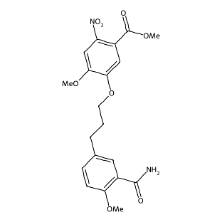 COC(=O)c1cc(OCCCc2ccc(OC)c(C(N)=O)c2)c(OC)cc1[N+](=O)[O-]